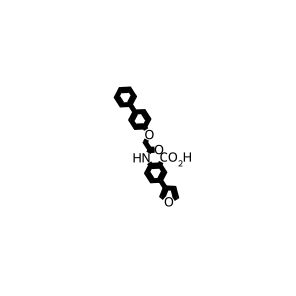 O=C(COc1ccc(-c2ccccc2)cc1)Nc1ccc(-c2ccoc2)cc1C(=O)O